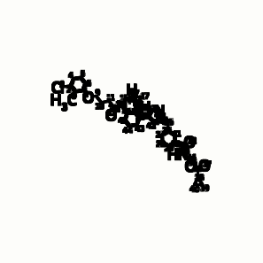 Cc1c(Cl)cccc1OCCCC(=O)N1C[C@@H]2C[C@@H]2c2c(-c3cnn(Cc4cccc(C(=O)NCOC(=O)C5CC5)c4)c3)cccc21